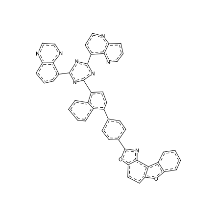 c1cc(-c2nc(-c3ccc(-c4ccc(-c5nc6c(ccc7oc8ccccc8c76)o5)cc4)c4ccccc34)nc(-c3ccnc4cccnc34)n2)c2nccnc2c1